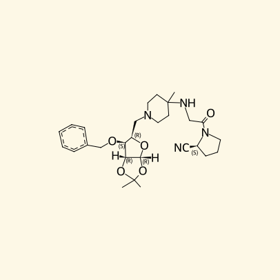 CC1(NCC(=O)N2CCC[C@H]2C#N)CCN(C[C@H]2O[C@@H]3OC(C)(C)O[C@@H]3[C@H]2OCc2ccccc2)CC1